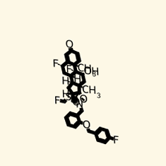 C[C@]12C=CC(=O)C=C1[C@@H](F)C[C@H]1[C@@H]3C[C@H]4CN(Cc5ccccc5OCc5ccc(F)cc5)O[C@@]4(C(=O)SCF)[C@@]3(C)C[C@H](O)[C@@]12F